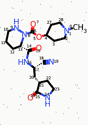 CN1CCC(OC(=O)N2NCCC[C@H]2C(=O)N[C@H](C#N)C[C@@H]2CCNC2=O)CC1